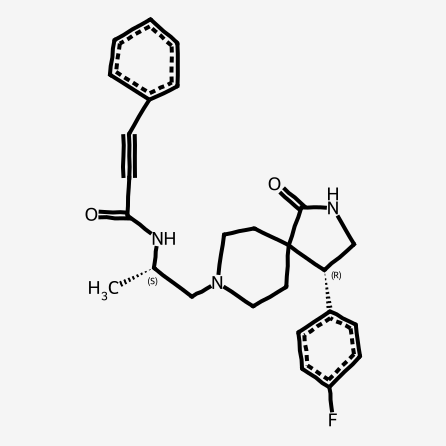 C[C@@H](CN1CCC2(CC1)C(=O)NC[C@@H]2c1ccc(F)cc1)NC(=O)C#Cc1ccccc1